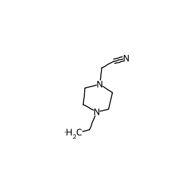 [CH2]CN1CCN(CC#N)CC1